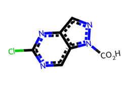 O=C(O)n1ncc2nc(Cl)ncc21